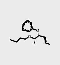 C/C=C/[C@@H](Oc1ccccc1)[C@H](C)OCCCC